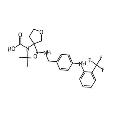 CC(C)(C)N(C(=O)O)C1(C(=O)NCc2ccc(Nc3ccccc3C(F)(F)F)cc2)CCOC1